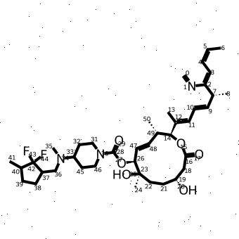 C=N/C(=C\C=C/C)[C@H](C)/C=C/C=C(\C)[C@H]1OC(=O)C[C@H](O)CC[C@@](C)(O)[C@@H](OC(=O)N2CCC(N(C)CC3CCC(C)C3(F)F)CC2)/C=C/[C@@H]1C